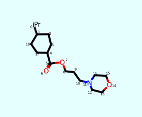 CC(C)C1CCC(C(=O)OCCCN2CCOCC2)CC1